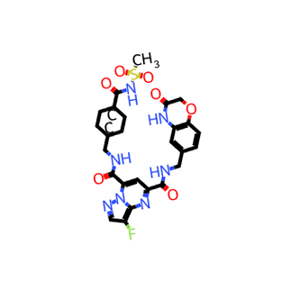 CS(=O)(=O)NC(=O)C12CCC(CNC(=O)c3cc(C(=O)NCc4ccc5c(c4)NC(=O)CO5)nc4c(F)cnn34)(CC1)CC2